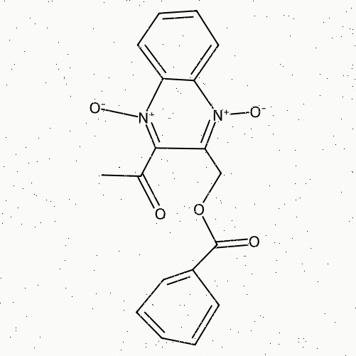 CC(=O)c1c(COC(=O)c2ccccc2)[n+]([O-])c2ccccc2[n+]1[O-]